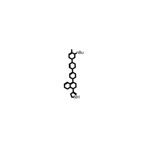 CCCCC1CC(C2C=CC(C3=CCC(C4=C5C=CCCC5C(C5=CNCC5)CC4)CC3)CC2)CC=C1C